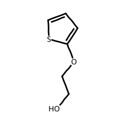 OCCOc1cccs1